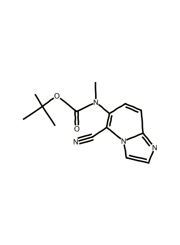 CN(C(=O)OC(C)(C)C)c1ccc2nccn2c1C#N